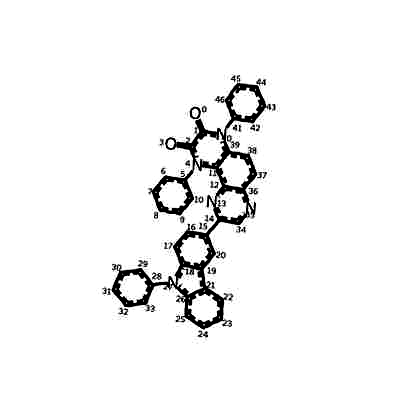 O=c1c(=O)n(-c2ccccc2)c2c3nc(-c4ccc5c(c4)c4ccccc4n5-c4ccccc4)cnc3ccc2n1-c1ccccc1